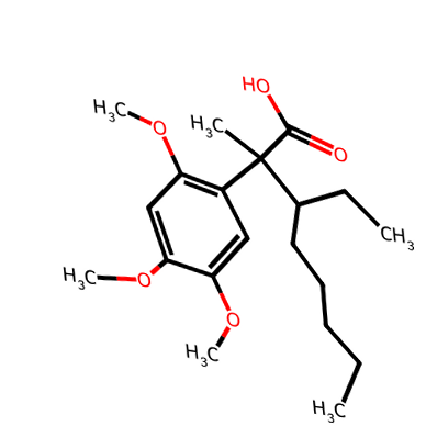 CCCCCC(CC)C(C)(C(=O)O)c1cc(OC)c(OC)cc1OC